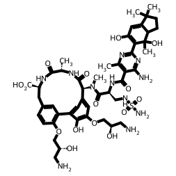 Cc1nc(C2=C(O)C=C3C(CCC3(C)C)C2(C)O)nc(N)c1C(=O)N[C@@H](CNS(N)(=O)=O)C(=O)N(C)[C@@H]1C(=O)N[C@@H](C)C(=O)N[C@H](C(=O)O)Cc2ccc(OC[C@H](O)CN)c(c2)-c2cc1cc(OC[C@H](O)CN)c2O